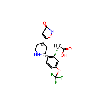 CC(=O)O.O=c1cc([C@H]2CCN[C@@H](c3ccc(OC(F)(F)F)cc3F)C2)o[nH]1